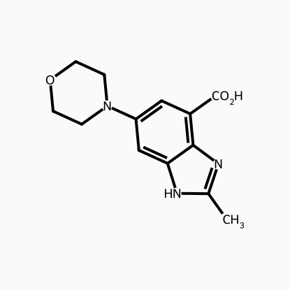 Cc1nc2c(C(=O)O)cc(N3CCOCC3)cc2[nH]1